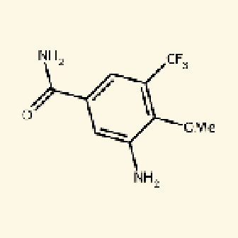 COc1c(N)cc(C(N)=O)cc1C(F)(F)F